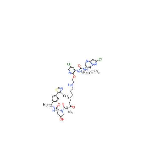 CO[C@@H](C)c1c(NC(=O)Nc2cc(Cl)cnc2OCCNCCCCCCC(=O)[C@@H](C(=O)N2C[C@H](O)C[C@H]2C(=O)N[C@@H](C)c2ccc(-c3scnc3C)cc2)C(C)(C)C)cnc2cc(Cl)nn12